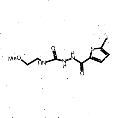 COCCNC(=O)NNC(=O)c1ccc(I)s1